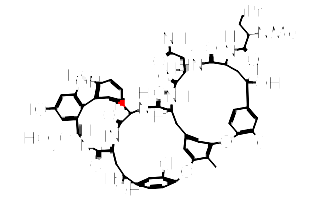 CN[C@H](CC(C)C)C(=O)NC1C[C@H](O)c2ccc(c(Cl)c2)Oc2cc3cc(c2C)Oc2ccc(cc2Cl)[C@@H](O)C[C@@H]2NC(=O)[C@H](NC(=O)[C@@H](C3)NC(=O)[C@H](CC(N)=O)NC1=O)c1ccc(O)c(c1)-c1c(O)cc(O)cc1[C@@H](C(=O)O)NC2=O